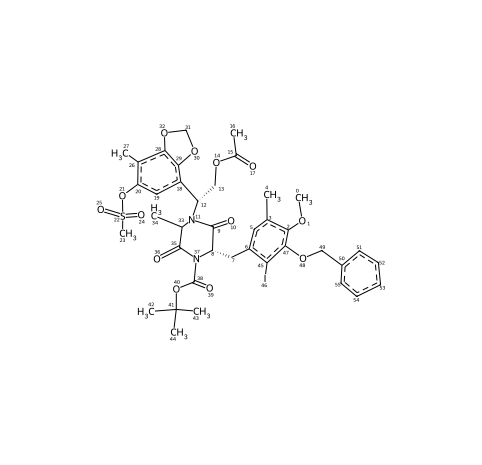 COc1c(C)cc(C[C@H]2C(=O)N([C@@H](COC(C)=O)c3cc(OS(C)(=O)=O)c(C)c4c3OCO4)C(C)C(=O)N2C(=O)OC(C)(C)C)c(I)c1OCc1ccccc1